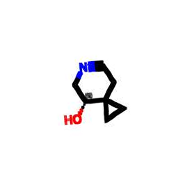 O[C@@H]1C[N+]#CCC12CC2